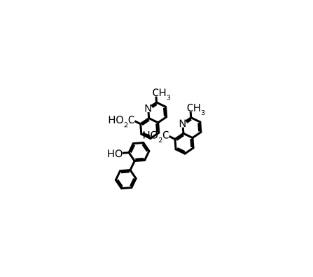 Cc1ccc2cccc(C(=O)O)c2n1.Cc1ccc2cccc(C(=O)O)c2n1.Oc1ccccc1-c1ccccc1